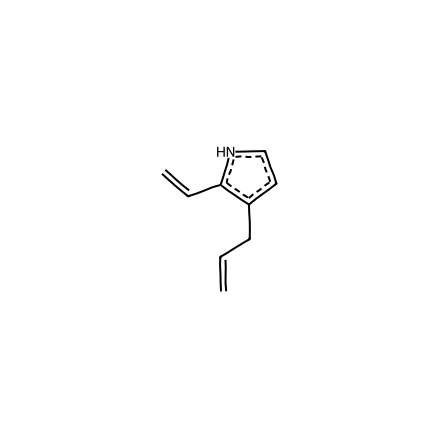 C=CCc1cc[nH]c1C=C